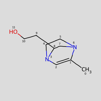 CC1=CN2CCN1CC2CCO